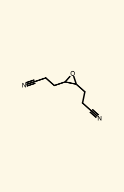 N#CCCC1OC1CCC#N